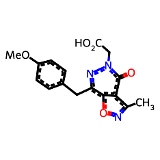 COc1ccc(Cc2nn(CC(=O)O)c(=O)c3c(C)noc23)cc1